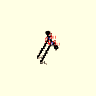 CCCCCCCCCCCCCCCC(=O)N(CC(O)CN(C(=O)CCCCCCCCCCCCCCC)[C@@H](Cc1ccccc1)C(=O)O)[C@@H](Cc1ccccc1)C(=O)O